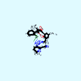 Cc1cc([C@@H](C)Nc2ccc(C)nc2C#N)c2oc(-c3ccccc3F)c(C)c(=O)c2c1